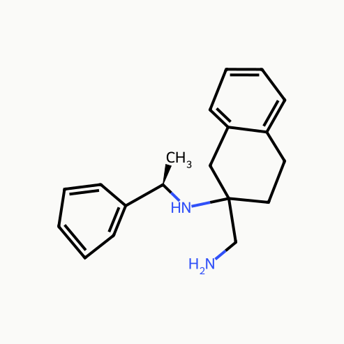 C[C@@H](NC1(CN)CCc2ccccc2C1)c1ccccc1